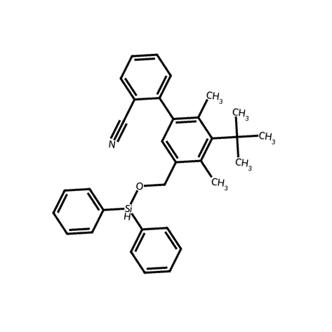 Cc1c(CO[SiH](c2ccccc2)c2ccccc2)cc(-c2ccccc2C#N)c(C)c1C(C)(C)C